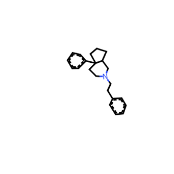 c1ccc(CCN2CCC3(c4ccccc4)CCCC3C2)cc1